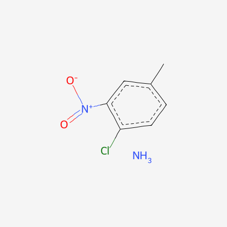 Cc1ccc(Cl)c([N+](=O)[O-])c1.N